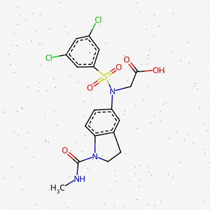 CNC(=O)N1CCc2cc(N(CC(=O)O)S(=O)(=O)c3cc(Cl)cc(Cl)c3)ccc21